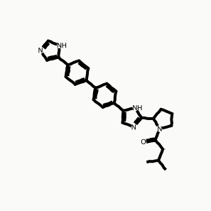 CC(C)[CH]C(=O)N1CCCC1c1ncc(-c2ccc(-c3ccc(-c4cnc[nH]4)cc3)cc2)[nH]1